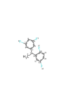 C[C](c1cc(F)cc(F)c1)c1cc(F)ccc1F